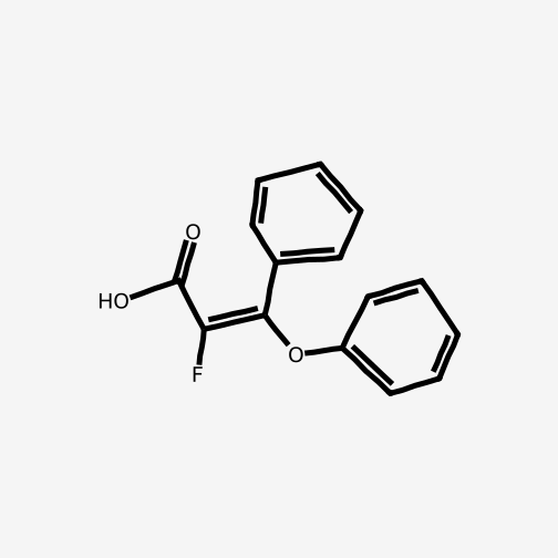 O=C(O)/C(F)=C(/Oc1ccccc1)c1ccccc1